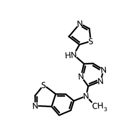 CN(c1ccc2ncsc2c1)c1nncc(Nc2cncs2)n1